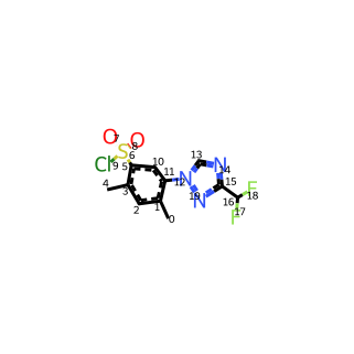 Cc1cc(C)c(S(=O)(=O)Cl)cc1-n1cnc(C(F)F)n1